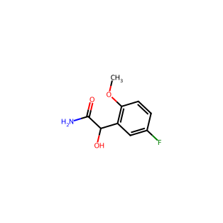 COc1ccc(F)cc1C(O)C(N)=O